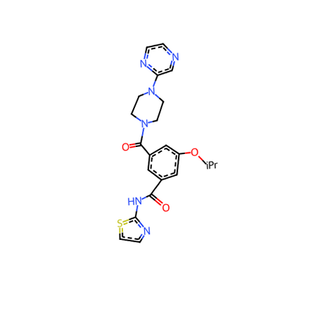 CC(C)Oc1cc(C(=O)Nc2nccs2)cc(C(=O)N2CCN(c3cnccn3)CC2)c1